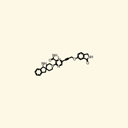 NC(=O)c1nc(C#CCOc2ccc3c(c2)C(=O)NC3)cnc1N1CCC2(CC1)Cc1ccccc1[C@H]2N